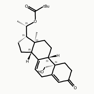 C[C@H](OC(=O)C(C)(C)C)[C@H]1CC[C@H]2C3=CCC4=CC(=O)CC[C@]4(CO)[C@H]3CC[C@]12C